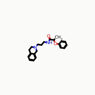 CC(Oc1ccccc1)C(=O)NCCCN1CCc2ccccc2C1